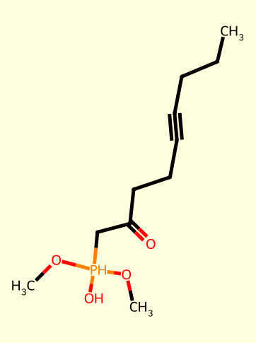 CCCC#CCCC(=O)C[PH](O)(OC)OC